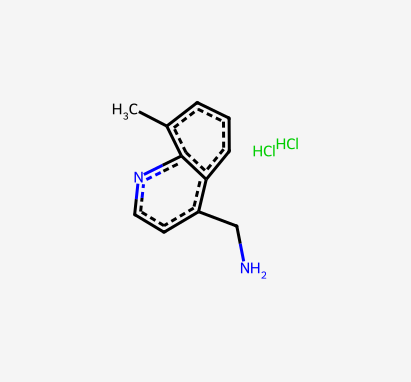 Cc1cccc2c(CN)ccnc12.Cl.Cl